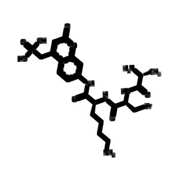 CC(C)C[C@H](NC(=O)[C@@H](C)N)C(=O)N[C@@H](CCCCN)C(=O)Nc1ccc2c(CP(=O)(O)O)cc(=O)oc2c1